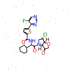 O=C(NC(C(=O)N1C[C@H](Cl)[C@H]2OCC(=O)[C@H]21)C1CCCCC1)c1ccc(-c2ncncc2F)s1